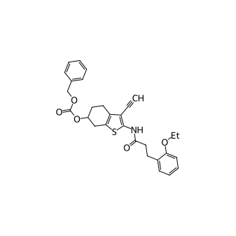 C#Cc1c(NC(=O)CCc2ccccc2OCC)sc2c1CCC(OC(=O)OCc1ccccc1)C2